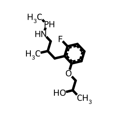 CPNCC(C)Cc1c(F)cccc1OCC(C)O